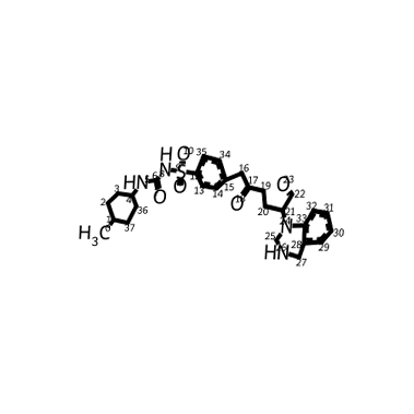 CC1CCC(NC(=O)NS(=O)(=O)c2ccc(CC(=O)CCC(C=O)N3CNCc4ccccc43)cc2)CC1